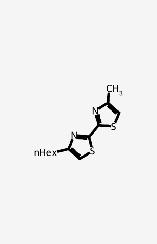 CCCCCCc1csc(-c2nc(C)cs2)n1